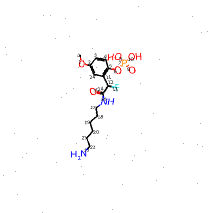 COc1ccc(OP(=O)(O)O)c(C(F)C(=O)NCCCCCCN)c1